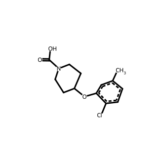 Cc1ccc(Cl)c(OC2CCN(C(=O)O)CC2)c1